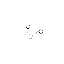 CCC[C@H]1C(=O)N(Cc2ccc(F)cc2)C[C@H]2N1C(=O)CN(C)N2C(=O)NCc1ccc(F)cc1